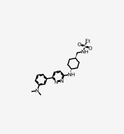 CCS(=O)(=O)NC[C@H]1CC[C@H](Nc2ccc(-c3cccc(N(C)C)c3)nn2)CC1